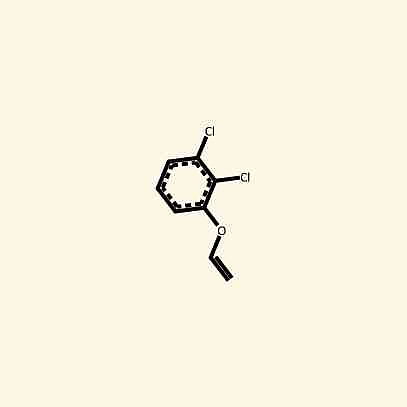 C=COc1cccc(Cl)c1Cl